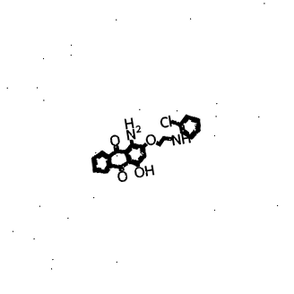 Nc1c(OCCNc2ccccc2Cl)cc(O)c2c1C(=O)c1ccccc1C2=O